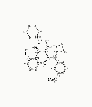 COc1cccc(N(C(=O)c2cnc(N3CCCCC3)nc2-c2ccccc2F)C2CCC2)c1